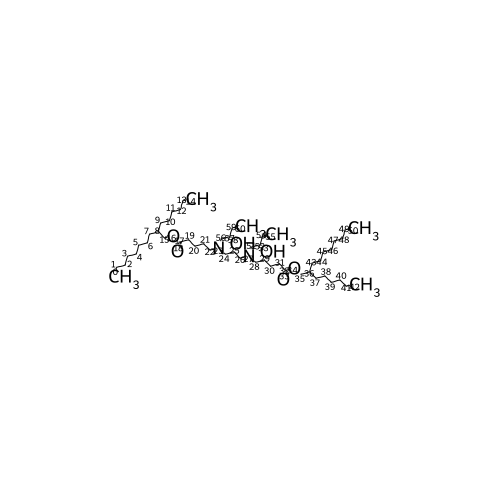 CCCCCCCCC(CCCCCC)COC(=O)CCCCN(CCCN(CCCCC(=O)OCC(CCCCCC)CCCCCCCC)CC(O)CC)CC(O)CC